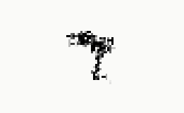 NCCCCCO[C@@H]1OC[C@@H](O[C@@H]2OC[C@@H](O)C(O)C2O)C(O)C1O